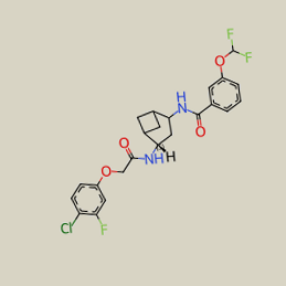 O=C(COc1ccc(Cl)c(F)c1)N[C@H]1CC(NC(=O)c2cccc(OC(F)F)c2)C2CC1C2